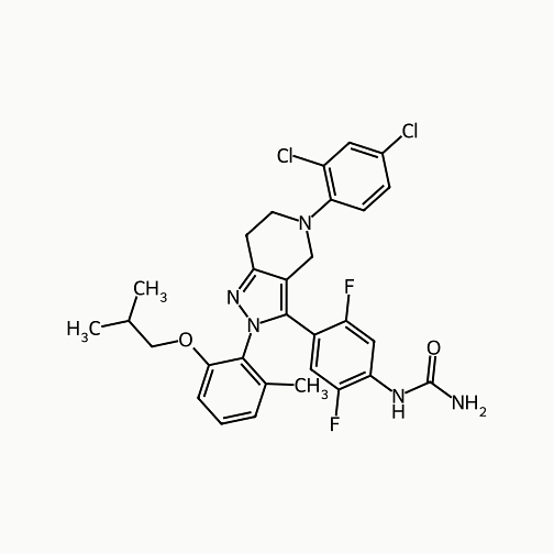 Cc1cccc(OCC(C)C)c1-n1nc2c(c1-c1cc(F)c(NC(N)=O)cc1F)CN(c1ccc(Cl)cc1Cl)CC2